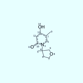 Cc1cn(C2(C)CCOC2)c(=O)cc1O